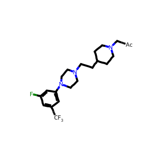 CC(=O)CN1CCC(CCN2CCN(c3cc(F)cc(C(F)(F)F)c3)CC2)CC1